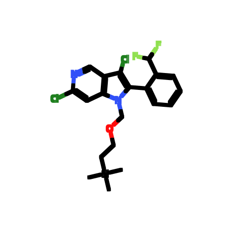 C[Si](C)(C)CCOCn1c(-c2ccccc2C(F)F)c(Cl)c2cnc(Cl)cc21